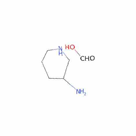 NC1CCCNC1.O=CO